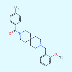 CCOc1ccccc1CN1CCC2(CC1)CCN(C(=O)c1ccc(C(F)(F)F)cc1)CC2